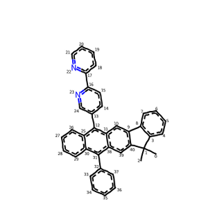 CC1(C)c2ccccc2-c2cc3c(-c4ccc(-c5ccccn5)nc4)c4ccccc4c(-c4ccccc4)c3cc21